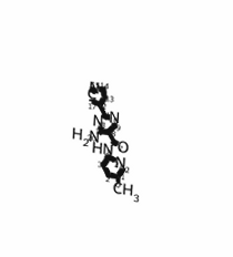 Cc1ccc(NC(=O)c2cnc(-c3ccncc3)nc2N)nc1